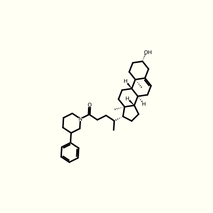 CC(CCC(=O)N1CCCC(c2ccccc2)C1)[C@H]1CC[C@H]2[C@@H]3CC=C4C[C@@H](O)CC[C@]4(C)[C@H]3CC[C@]12C